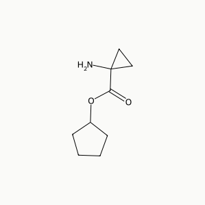 NC1(C(=O)OC2CCCC2)CC1